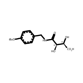 CC(C)COc1ccc(CNC(=O)[C@H](O)[C@@H](O)C(=O)O)cc1